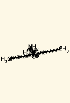 CCCCCCCCCCCCCCCC(=O)N(C(=O)CCCCCCCCCCCCCCC)C(=O)[C@@H](N)CC(N)=O